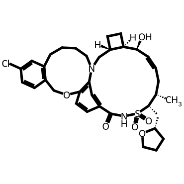 C[C@H]1C/C=C\[C@H](O)[C@@H]2CC[C@H]2CN2CCCCc3cc(Cl)ccc3COc3ccc(cc32)C(=O)NS(=O)(=O)[C@H]1C[C@@H]1CCCO1